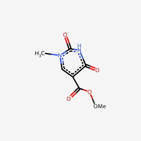 COOC(=O)c1cn(C)c(=O)[nH]c1=O